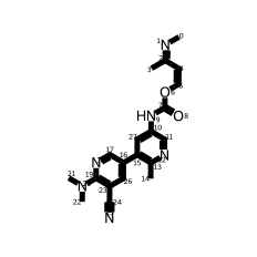 C/N=C(C)\C=C/OC(=O)Nc1cnc(C)c(-c2cnc(N(C)C)c(C#N)c2)c1